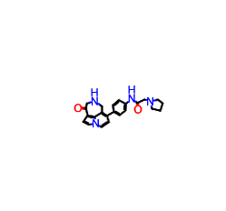 O=C(CN1CCCC1)Nc1ccc(-c2ccn3ccc4c3c2CNCC4=O)cc1